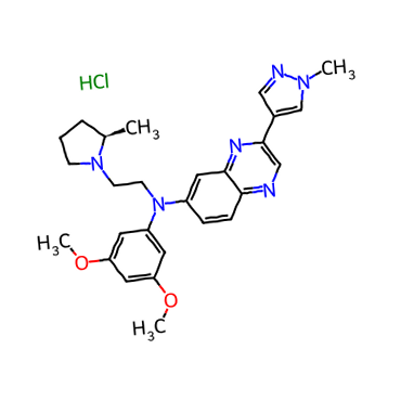 COc1cc(OC)cc(N(CCN2CCC[C@H]2C)c2ccc3ncc(-c4cnn(C)c4)nc3c2)c1.Cl